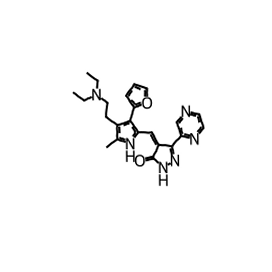 CCN(CC)CCc1c(C)[nH]c(C=C2C(=O)NN=C2c2cnccn2)c1-c1ccco1